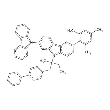 CCC(C)(Cc1ccc(-c2ccccc2)cc1)n1c2ccc(-c3c(C)cc(C)cc3C)cc2c2ccc(-n3c4ccccc4c4ccccc43)cc21